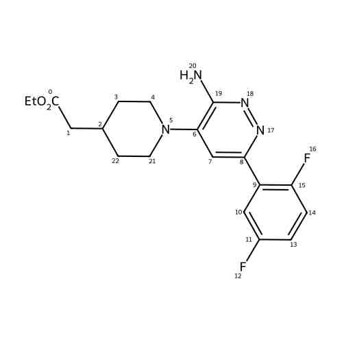 CCOC(=O)CC1CCN(c2cc(-c3cc(F)ccc3F)nnc2N)CC1